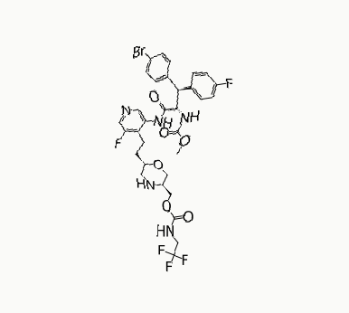 COC(=O)N[C@H](C(=O)Nc1cncc(F)c1CC[C@@H]1CN[C@H](COC(=O)NCC(F)(F)F)CO1)[C@H](c1ccc(F)cc1)c1ccc(Br)cc1